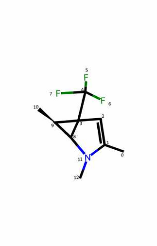 CC1=CC2(C(F)(F)F)C([C@H]2C)N1C